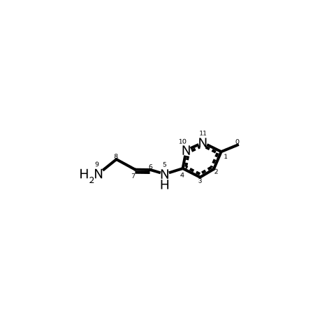 Cc1ccc(NC=CCN)nn1